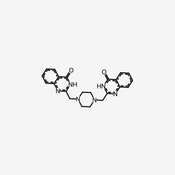 O=c1[nH]c(CN2CCN(Cc3nc4ccccc4c(=O)[nH]3)CC2)nc2ccccc12